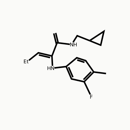 C=C(NCC1CC1)/C(=C/CC)Nc1ccc(C)c(F)c1